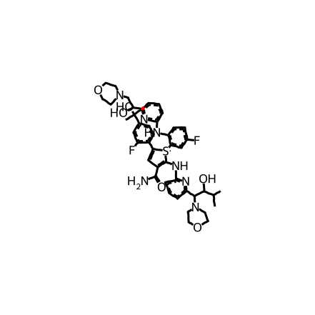 CC(C)C(O)C(c1cccc(NC2=C(C(N)=O)C=C(c3ccc(C(C)(C)O)cc3F)[S]2c2cc(F)ccc2Nc2cccc(C(O)CN3CCOCC3)n2)n1)N1CCOCC1